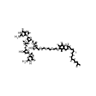 COP(=S)(OC[C@H]1O[C@@H](n2cnc3c(=S)[nH]c(N)nc32)CC1O)OC1C[C@H](n2cnc3c(=S)[nH]c(N)nc32)O[C@@H]1COP(=O)(O)O[C@H](CO)COCCOCCOCCOc1c(C)c(C)c2c(c1C)CC[C@@](C)(CCC[C@H](C)CCC[C@H](C)CCCC(C)C)O2